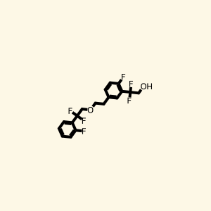 OCC(F)(F)c1cc(CCOCC(F)(F)c2ccccc2F)ccc1F